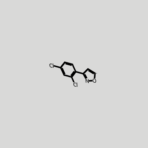 Clc1ccc(-c2c[c]on2)c(Cl)c1